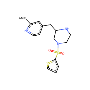 COc1cc(CC2CN(S(=O)(=O)c3cccs3)CCN2)ccn1